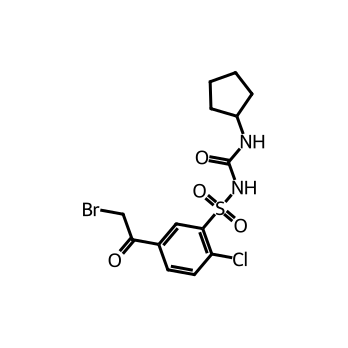 O=C(NC1CCCC1)NS(=O)(=O)c1cc(C(=O)CBr)ccc1Cl